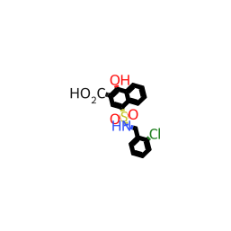 O=C(O)c1cc(S(=O)(=O)NCc2ccccc2Cl)c2ccccc2c1O